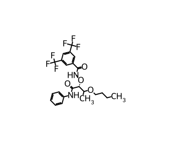 CCCCOC(C)[C@@H](ONC(=O)c1cc(C(F)(F)F)cc(C(F)(F)F)c1)C(=O)Nc1ccccc1